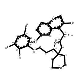 COc1ccc2ncc(Cl)c([C@H](F)CCC3([C@@H](O)CCOc4cc(F)cc(F)c4F)CCNCC3)c2c1